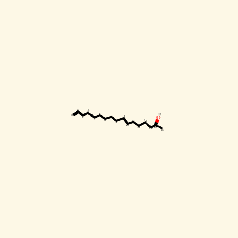 C=CCCCCCCCCCCCCCC(C)=O